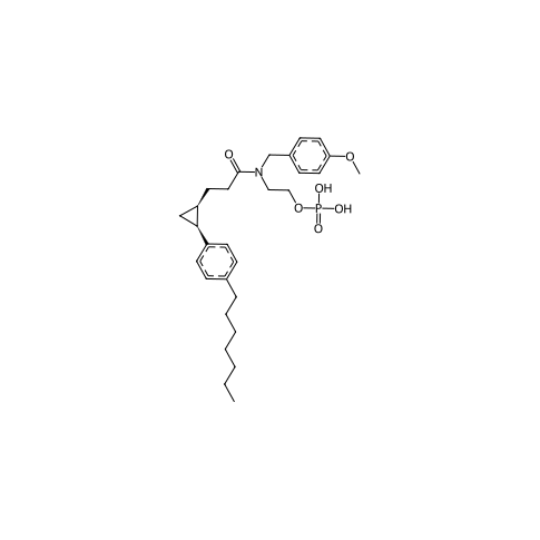 CCCCCCCc1ccc([C@H]2C[C@H]2CCC(=O)N(CCOP(=O)(O)O)Cc2ccc(OC)cc2)cc1